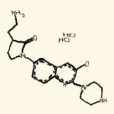 Cl.Cl.NCCC1CCN(c2ccc3nc(N4CCNCC4)c(Cl)cc3c2)C1=O